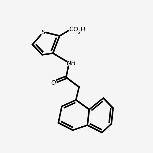 O=C(Cc1cccc2ccccc12)Nc1ccsc1C(=O)O